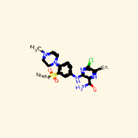 CCc1nc(C(N)=O)c(Nc2ccc(N3CCN(C)CC3)c(S(=O)(=O)NC)c2)nc1Cl